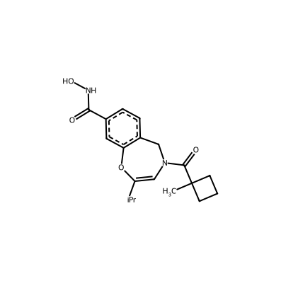 CC(C)C1=CN(C(=O)C2(C)CCC2)Cc2ccc(C(=O)NO)cc2O1